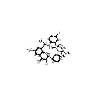 Cc1cc([C@@H](C)Nc2ccc(Cl)nc2S(=O)(=O)NC(C)(C)C)c2oc(-c3ccccc3)c(I)c(=O)c2c1